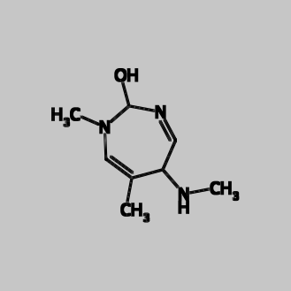 CNC1C=NC(O)N(C)C=C1C